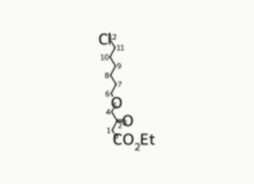 CCOC(=O)CC(=O)COCCCCCCCl